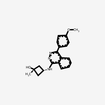 COc1ccc(-c2nnc(N[C@H]3C[C@@](C)(O)C3)c3ccccc23)cc1